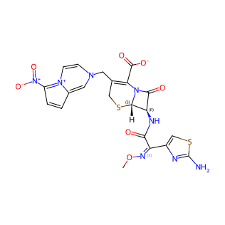 CO/N=C(\C(=O)N[C@@H]1C(=O)N2C(C(=O)[O-])=C(Cn3cc[n+]4c([N+](=O)[O-])ccc-4c3)CS[C@@H]12)c1csc(N)n1